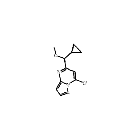 COC(c1cc(Cl)n2nccc2n1)C1CC1